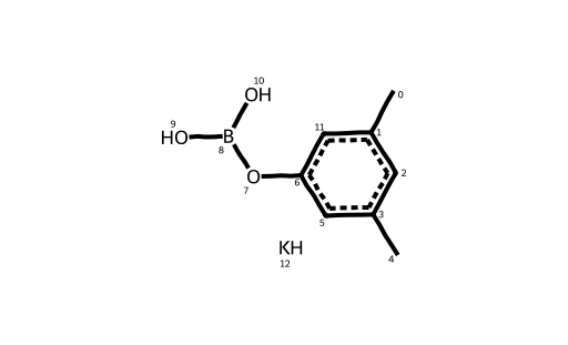 Cc1cc(C)cc(OB(O)O)c1.[KH]